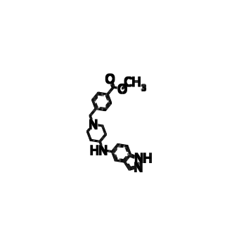 COC(=O)c1ccc(CN2CCC(Nc3ccc4[nH]ncc4c3)CC2)cc1